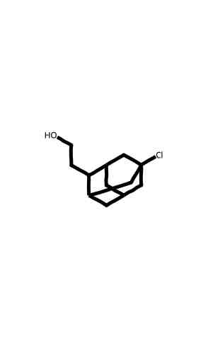 OCCC1C2CC3CC1CC(Cl)(C3)C2